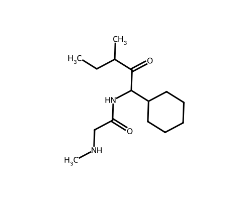 CCC(C)C(=O)C(NC(=O)CNC)C1CCCCC1